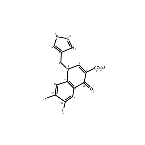 CCOC(=O)c1cn(Cc2csnn2)c2cc(F)c(F)cc2c1=O